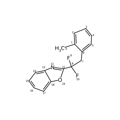 Cc1ccccc1CC(F)(F)c1nc2ccccc2o1